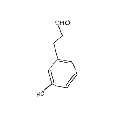 O=[C]CCc1cccc(O)c1